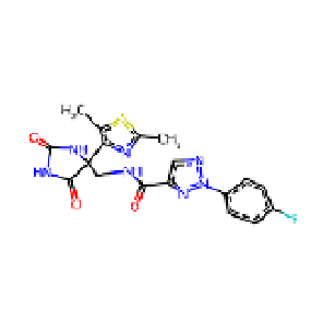 Cc1nc(C2(CNC(=O)c3cnn(-c4ccc(F)cc4)n3)NC(=O)NC2=O)c(C)s1